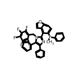 CP(c1ccccc1)c1ccc2occc2c1-c1nc(-c2ccccc2)c(-c2ccccc2)n1Cc1c(F)c(F)c(F)c(F)c1F